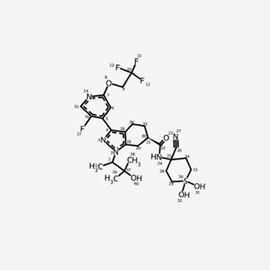 CC(n1nc(-c2cc(OCC(F)(F)F)ncc2F)c2c1C[C@H](C(=O)NC1(C#N)CCS(O)(O)CC1)CC2)C(C)(C)O